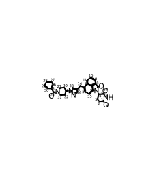 O=C1CCC(N2C(=O)c3cccc4c(Cc5cnn(C6CCN(C(=O)c7ccccc7)CC6)c5)ccc2c34)C(=O)N1